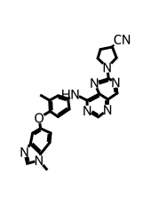 Cc1cc(Nc2ncnc3cnc(N4CC[C@@H](C#N)C4)nc23)ccc1Oc1ccc2c(c1)ncn2C